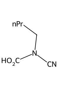 CCCCN(C#N)C(=O)O